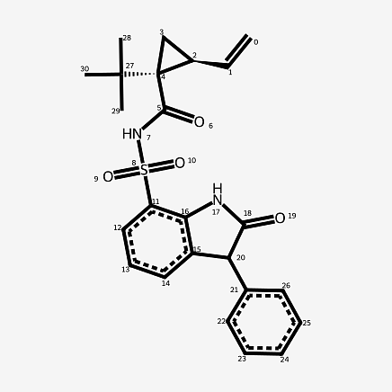 C=C[C@@H]1C[C@@]1(C(=O)NS(=O)(=O)c1cccc2c1NC(=O)C2c1ccccc1)C(C)(C)C